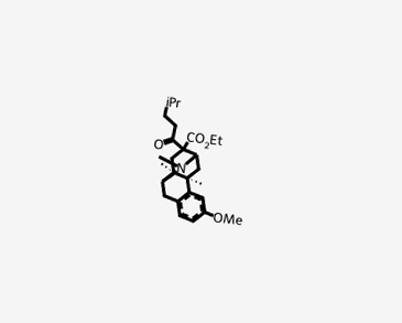 CCOC(=O)C1(C(=O)CCC(C)C)C[C@]2(C)C3Cc4ccc(OC)cc4[C@]2(C)CC1N3C